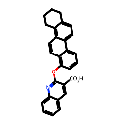 O=C(O)c1cc2ccccc2nc1Oc1cccc2c1ccc1c3c(ccc12)CCCC3